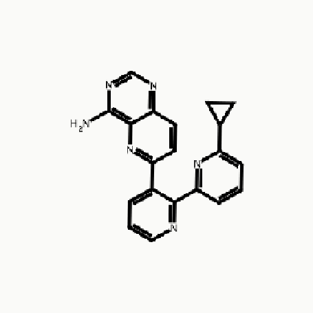 Nc1ncnc2ccc(-c3cccnc3-c3cccc(C4CC4)n3)nc12